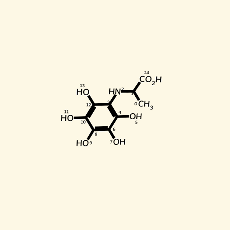 CC(Nc1c(O)c(O)c(O)c(O)c1O)C(=O)O